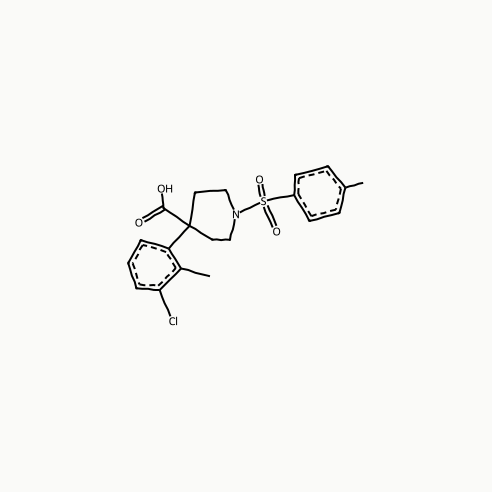 Cc1ccc(S(=O)(=O)N2CCC(C(=O)O)(c3cccc(Cl)c3C)CC2)cc1